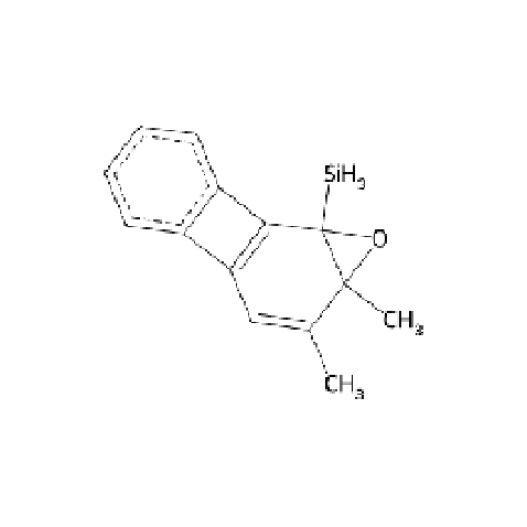 CC1=CC2=C(c3ccccc32)C2([SiH3])OC12C